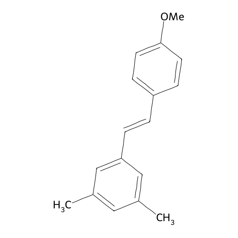 COc1ccc(/C=C/c2cc(C)cc(C)c2)cc1